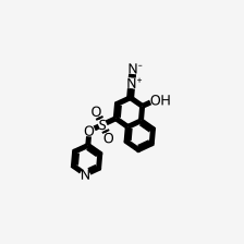 [N-]=[N+]=C1C=C(S(=O)(=O)Oc2ccncc2)c2ccccc2C1O